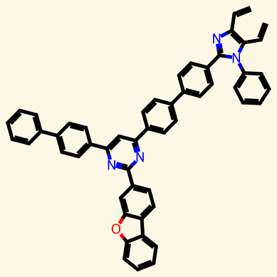 C=Cc1nc(-c2ccc(-c3ccc(-c4cc(-c5ccc(-c6ccccc6)cc5)nc(-c5ccc6c(c5)oc5ccccc56)n4)cc3)cc2)n(-c2ccccc2)c1C=C